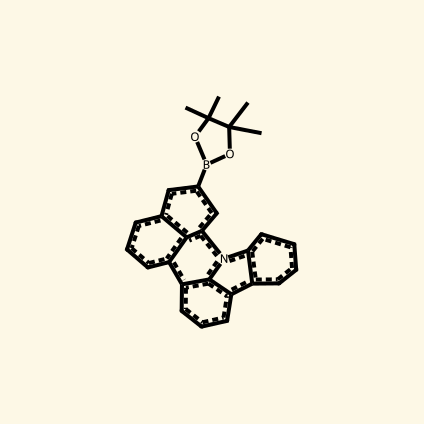 CC1(C)OB(c2cc3cccc4c5cccc6c7ccccc7n(c(c2)c34)c56)OC1(C)C